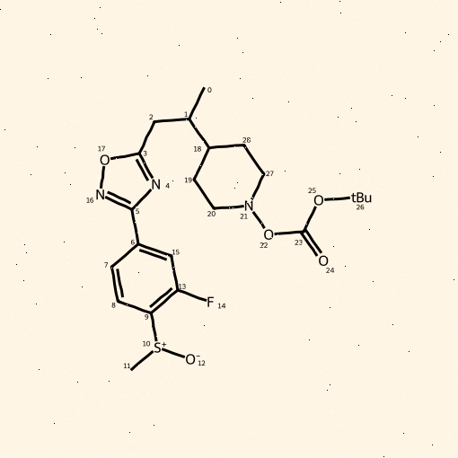 CC(Cc1nc(-c2ccc([S+](C)[O-])c(F)c2)no1)C1CCN(OC(=O)OC(C)(C)C)CC1